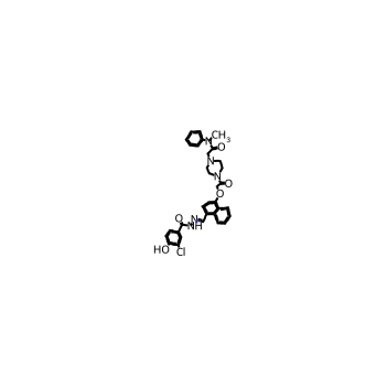 CN(C(=O)CN1CCN(C(=O)COc2ccc(/C=N/NC(=O)c3ccc(O)c(Cl)c3)c3ccccc23)CC1)c1ccccc1